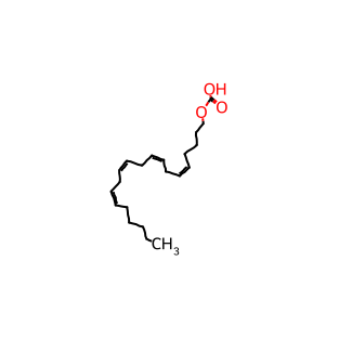 CCCCC/C=C\C/C=C\C/C=C\C/C=C\CCCCOC(=O)O